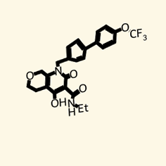 CCNC(=O)c1c(O)c2c(n(Cc3ccc(-c4ccc(OC(F)(F)F)cc4)cc3)c1=O)COCC2